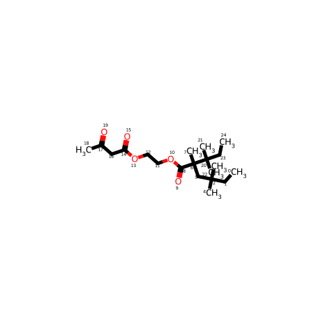 CCC(C)(C)CC(C)(C(=O)OCCOC(=O)CC(C)=O)C(C)(C)CC